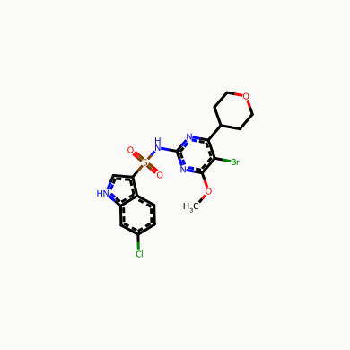 COc1nc(NS(=O)(=O)c2c[nH]c3cc(Cl)ccc23)nc(C2CCOCC2)c1Br